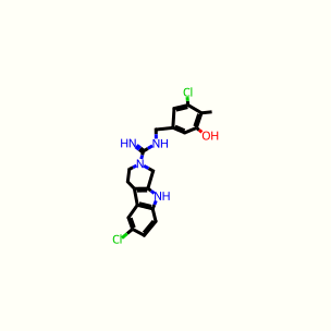 Cc1c(O)cc(CNC(=N)N2CCc3c([nH]c4ccc(Cl)cc34)C2)cc1Cl